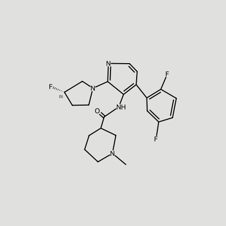 CN1CCCC(C(=O)Nc2c(-c3cc(F)ccc3F)ccnc2N2CC[C@H](F)C2)C1